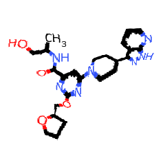 CC(CO)NC(=O)c1cc(N2CCC(c3n[nH]c4ncccc34)CC2)nc(OC[C@H]2CCCO2)n1